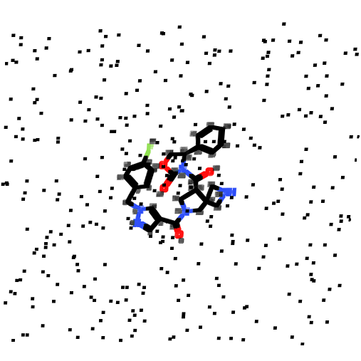 O=C(c1cnn(Cc2ccc(F)cc2)c1)N1C[C@@H](C(=O)N2C(=O)OC[C@H]2c2ccccc2)C2(CNC2)C1